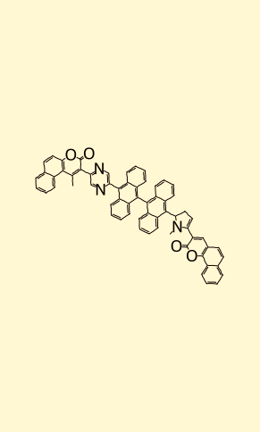 Cc1c(-c2cnc(-c3c4ccccc4c(-c4c5ccccc5c(C5CC=C(c6cc7ccc8ccccc8c7oc6=O)N5C)c5ccccc45)c4ccccc34)cn2)c(=O)oc2ccc3ccccc3c12